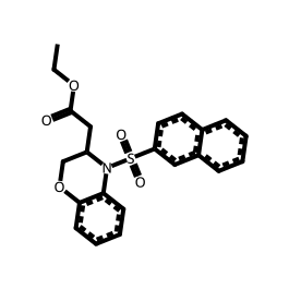 CCOC(=O)CC1COc2ccccc2N1S(=O)(=O)c1ccc2ccccc2c1